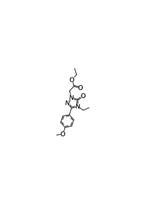 CCOC(=O)Cn1nc(-c2ccc(OC)cc2)n(CC)c1=O